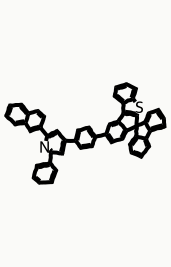 c1ccc(-c2cc(-c3ccc(-c4ccc5c(c4)-c4c(sc6ccccc46)C54c5ccccc5-c5ccccc54)cc3)cc(-c3ccc4ccccc4c3)n2)cc1